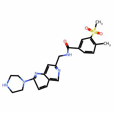 Cc1ccc(C(=O)NCc2cc3nc(N4CCNCC4)ccc3cn2)cc1S(C)(=O)=O